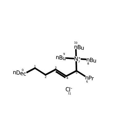 CCCCCCCCCCCCC=CC(CCC)[N+](CCCC)(CCCC)CCCC.[Cl-]